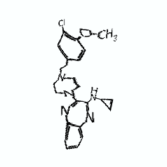 COc1ccc(CN2CCN(c3nc4ccccc4nc3NC3CC3)CC2)cc1Cl